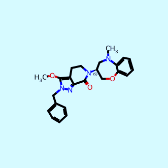 COc1c2c(nn1Cc1ccccc1)C(=O)N([C@@H]1COc3ccccc3N(C)C1)CC2